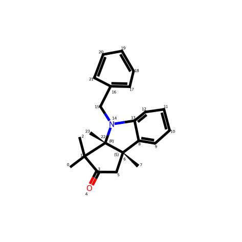 CC1(C)C(=O)C[C@@]2(C)c3ccccc3N(Cc3ccccc3)[C@@]12C